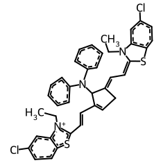 CCN1C(=CC=C2CC=C(C=Cc3sc4ccc(Cl)cc4[n+]3CC)C2N(c2ccccc2)c2ccccc2)Sc2ccc(Cl)cc21